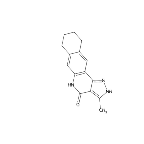 Cc1[nH]nc2c1c(=O)[nH]c1cc3c(cc12)CCCC3